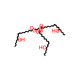 CCCCCC(O)/C=C/C=C\CCCCCCCC(=O)OCC(COC(=O)CCCCCCC/C=C\C=C\C(O)CCCCC)OC(=O)CCCCCCC/C=C\C=C\C(O)CCCCC